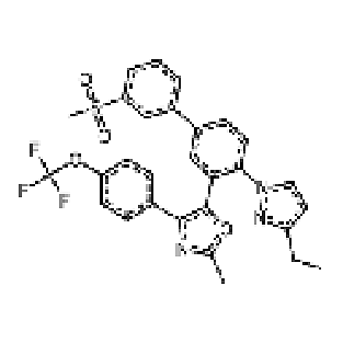 CCc1ccn(-c2ccc(-c3cccc(S(C)(=O)=O)c3)cc2-c2oc(C)nc2-c2ccc(OC(F)(F)F)cc2)n1